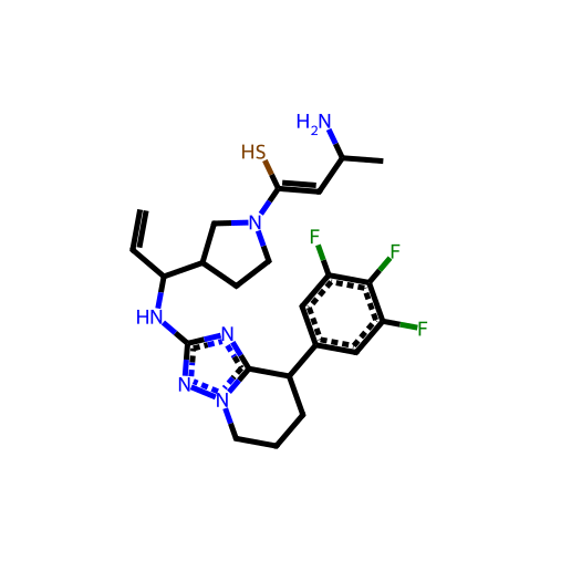 C=CC(Nc1nc2n(n1)CCCC2c1cc(F)c(F)c(F)c1)C1CCN(/C(S)=C/C(C)N)C1